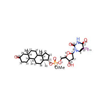 COP(=O)(OCC1OC(n2cc([125I])c(=O)[nH]c2=O)CC1O)O[C@H]1CC[C@H]2C3CC[C@H]4CC(=O)CC[C@]4(C)C3CC[C@]12C